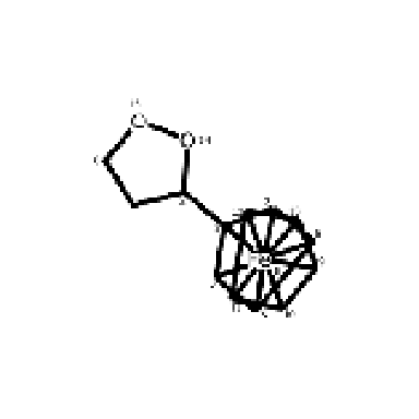 C1CC([C]23[CH]4[CH]5[CH]6[CH]2[Fe]56432789[CH]3[CH]2[CH]7[CH]8[CH]39)OO1